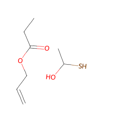 C=CCOC(=O)CC.CC(O)S